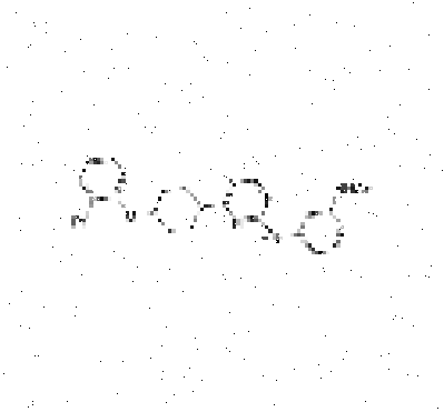 CC(=O)Nc1cccc(Nc2ncnc(N3CCC(Oc4ccccc4C(C)C)CC3)n2)c1